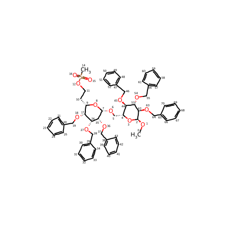 CO[C@H]1O[C@H](CO[C@H]2O[C@@H](CCOS(C)(=O)=O)[C@@H](OCc3ccccc3)[C@@H](OCc3ccccc3)[C@H]2OCc2ccccc2)[C@@H](OCc2ccccc2)[C@H](OCc2ccccc2)[C@H]1OCc1ccccc1